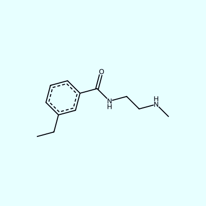 CCc1cccc(C(=O)NCCNC)c1